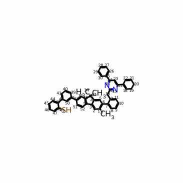 Cc1cc2c(cc1-c1ccccc1Cc1nc(C3=CCCC=C3)cc(-c3ccccc3)n1)C(C)(C)c1cc(-c3cccc(-c4ccccc4S)c3)ccc1-2